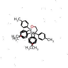 Cc1ccc([Si]2(c3ccc(C)cc3)CCO[Si](c3ccc(C)cc3)(c3ccc(C)cc3)[Si]2(c2ccc(C)cc2)c2ccc(C)cc2)cc1